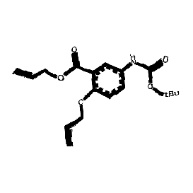 C=CCOC(=O)c1cc(NC(=O)OC(C)(C)C)ccc1OCC=C